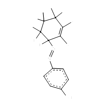 Oc1ccc(N=NC2(F)C(F)=C(F)C(F)(F)C(F)(F)C2(F)F)cc1